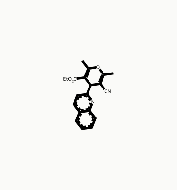 CCOC(=O)C1=C(C)OC(C)=C(C#N)C1c1ccc2ccccc2n1